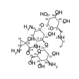 CCNC[C@H]1O[C@H](OC2[C@@H](N)C[C@@H](NC(=O)C3(O)CC3N)[C@H](O[C@H]3O[C@H](CO)[C@@H](O)[C@H](N)[C@H]3O)[C@H]2O)[C@H](O)[C@@H](O)[C@@H]1O